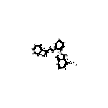 Nc1cccc2cn(-c3ccccc3C=Cc3n[nH]c4ccccc34)cc12